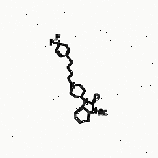 CC(=O)n1c(=O)n(C2CCN(CCCCC3=CCC(F)(F)C=C3)CC2)c2ccccc21